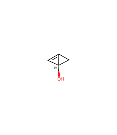 O[C@@]12C=C1C2